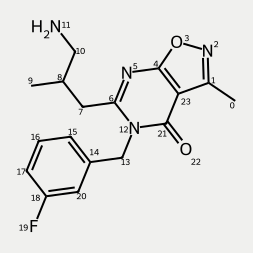 Cc1noc2nc(CC(C)CN)n(Cc3cccc(F)c3)c(=O)c12